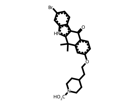 CC1(C)c2cc(OCCC3CCN(C(=O)O)CC3)ccc2C(=O)c2c1[nH]c1cc(Br)ccc21